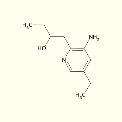 CCc1cnc(CC(O)CC)c(N)c1